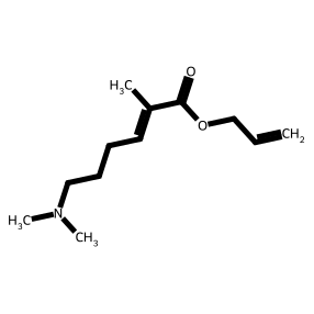 C=CCOC(=O)C(C)=CCCCN(C)C